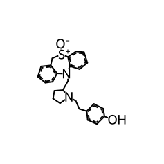 [O-][S+]1Cc2ccccc2N(CC2CCCN2CCc2ccc(O)cc2)c2ccccc21